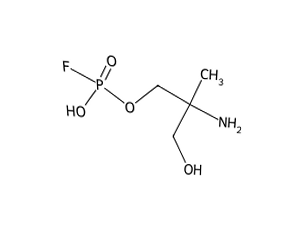 CC(N)(CO)COP(=O)(O)F